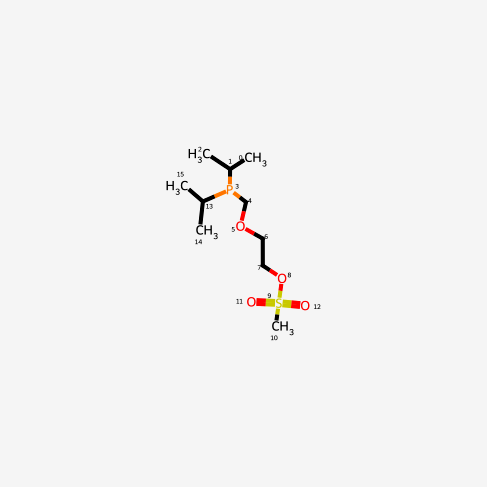 CC(C)P(COCCOS(C)(=O)=O)C(C)C